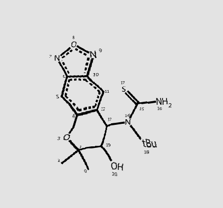 CC1(C)Oc2cc3nonc3cc2C(N(C(N)=S)C(C)(C)C)C1O